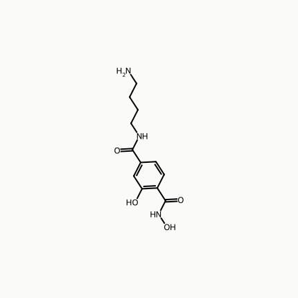 NCCCCNC(=O)c1ccc(C(=O)NO)c(O)c1